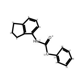 O=C(Nc1cccc2c1CCC2)Oc1ccccc1